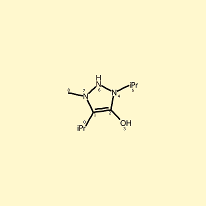 CC(C)C1=C(O)N(C(C)C)NN1C